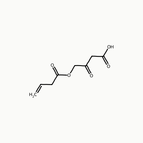 C=CCC(=O)OCC(=O)CC(=O)O